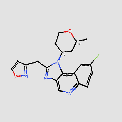 C[C@H]1C[C@@H](n2c(Cc3ccon3)nc3cnc4ccc(F)cc4c32)CCO1